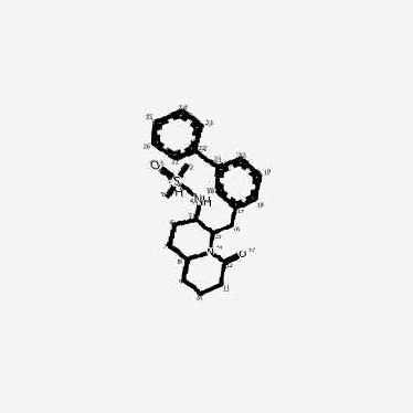 C[SH](C)(=O)NC1CCC2CCCC(=O)N2C1Cc1cccc(-c2ccccc2)c1